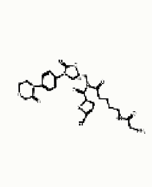 NCC(=O)NCCCCC(=O)N(C[C@H]1CN(c2ccc(N3CCOCC3=O)cc2)C(=O)O1)C(=O)C1CC=C(Cl)S1